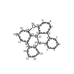 c1ccc2c(c1)-c1cccc3c1B1c4c(cncc4-c4ccccc4N12)O3